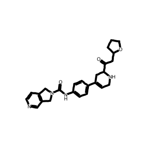 O=C(CC1CCCO1)C1CC(c2ccc(NC(=O)N3Cc4ccncc4C3)cc2)=CCN1